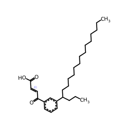 CCCCCCCCCCCCCCC(CCC)c1cccc(C(=O)/C=C/C(=O)O)c1